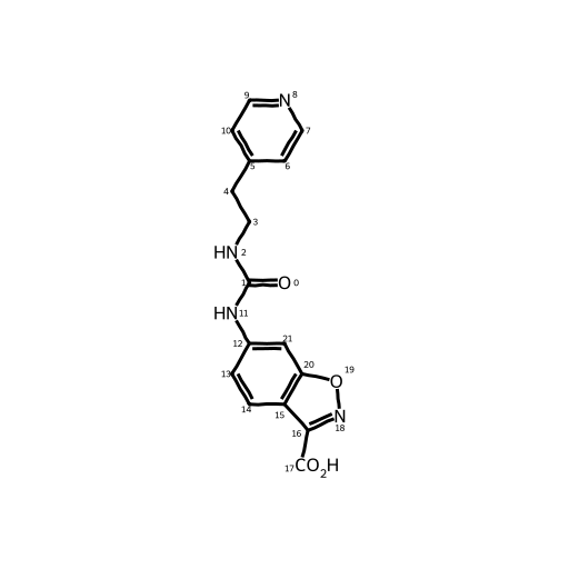 O=C(NCCc1ccncc1)Nc1ccc2c(C(=O)O)noc2c1